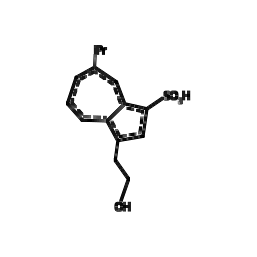 CC(C)c1cccc2c(CCO)cc(S(=O)(=O)O)c-2c1